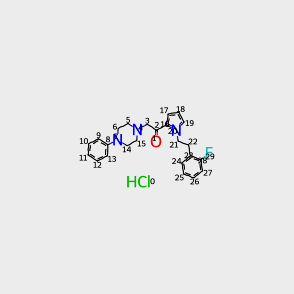 Cl.O=C(CN1CCN(c2ccccc2)CC1)c1cccn1CCc1ccccc1F